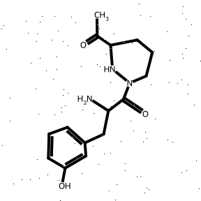 CC(=O)C1CCCN(C(=O)C(N)Cc2cccc(O)c2)N1